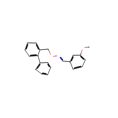 COc1cccc(/[C]=N/OCc2ccccc2-c2ccccc2)c1